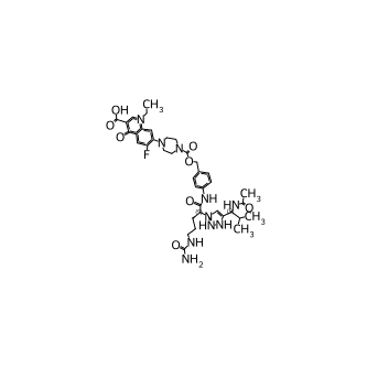 CCn1cc(C(=O)O)c(=O)c2cc(F)c(N3CCN(C(=O)OCc4ccc(NC(=O)[C@H](CCCNC(N)=O)N5C=C([C@@H](NC(C)=O)C(C)C)NN5)cc4)CC3)cc21